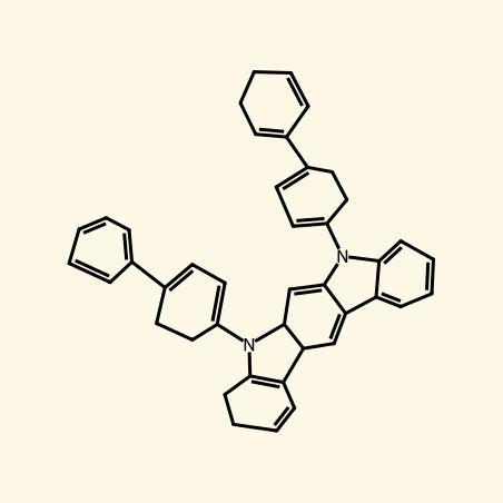 C1=CC(C2=CC=C(n3c4c(c5ccccc53)=CC3C5=C(CCC=C5)N(C5=CC=C(c6ccccc6)CC5)C3C=4)CC2)=CCC1